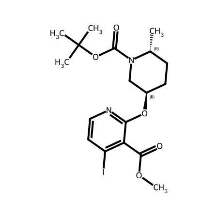 COC(=O)c1c(I)ccnc1O[C@@H]1CC[C@@H](C)N(C(=O)OC(C)(C)C)C1